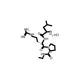 CCNC(=O)[C@@H]1CCCN1C(=O)[C@H](CCCNC(=N)N)NC(=O)C(N)CC(C)C.Cl